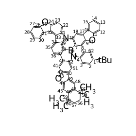 CC(C)(C)c1ccc(N2B3c4cc5oc6ccccc6c5cc4-n4c5ccc6oc7ccccc7c6c5c5ccc(c3c54)-c3cc4oc5cc6c(cc5c4cc32)C(C)(C)CCC6(C)C)cc1